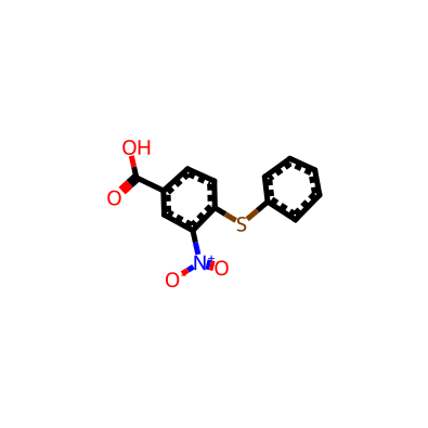 O=C(O)c1ccc(Sc2ccccc2)c([N+](=O)[O-])c1